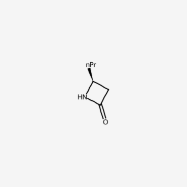 CCC[C@H]1CC(=O)N1